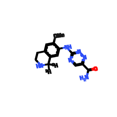 [2H]C1([2H])NCCc2cc(OC)c(Nc3ncc(C(N)=O)nn3)cc21